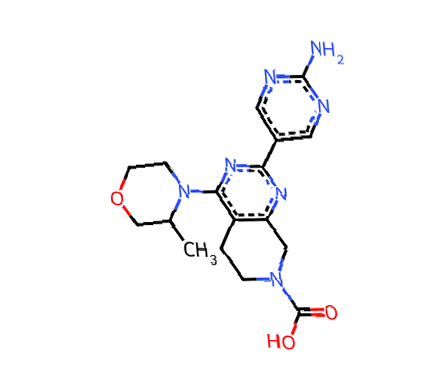 CC1COCCN1c1nc(-c2cnc(N)nc2)nc2c1CCN(C(=O)O)C2